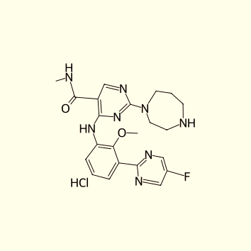 CNC(=O)c1cnc(N2CCCNCC2)nc1Nc1cccc(-c2ncc(F)cn2)c1OC.Cl